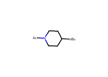 [CH2]CCCC1CCN(C(C)=O)CC1